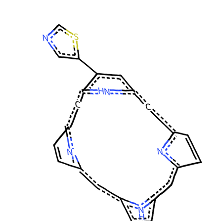 C1=Cc2cc3cc(-c4cncs4)c(cc4nc(cc5ccc(cc1n2)[nH]5)C=C4)[nH]3